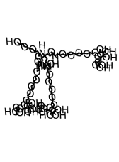 O=C(CCC(CCC(=O)NCCOCCOCCOCCOCCOC1OC(COP(=O)(O)O)C(O)C(O)C1O)(CCC(=O)NCCOCCOCCOCCOCCOC1OC(COP(=O)(O)O)C(O)C(O)C1O)NC(=O)CCOCCOCCO)NCCOCCOCCOCCOCCOC1OC(COP(=O)(O)O)C(O)C(O)C1O